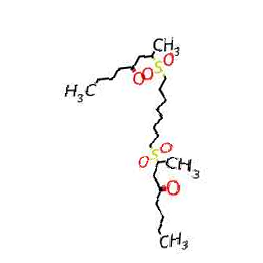 CCCCC(=O)CC(C)S(=O)(=O)CCCCCCCCS(=O)(=O)C(C)CC(=O)CCCC